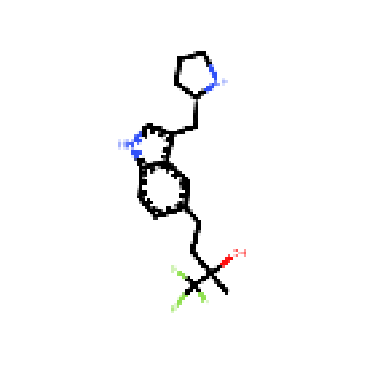 CC(O)(CCc1ccc2[nH]cc(C[C@H]3CCCN3)c2c1)C(F)(F)F